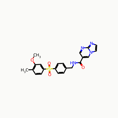 COc1cc(S(=O)(=O)c2ccc(CNC(=O)c3cnc4nccn4c3)cc2)ccc1C